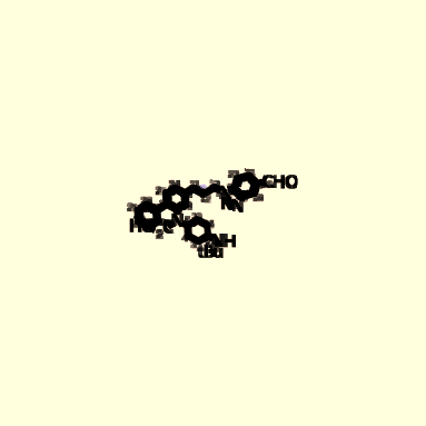 CC(C)(C)NC1CCC(N(C(=O)O)c2cc(/C=C/Cn3nnc4cc(C=O)ccc43)ccc2-c2ccccc2)CC1